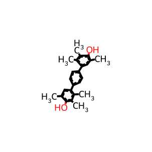 Cc1cc(-c2ccc(-c3cc(C)c(O)c(C)c3C)cc2)c(C)c(C)c1O